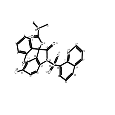 COc1ccccc1C1(OC(=O)N(C)C)C(=O)N(S(=O)(=O)c2cccc3cccnc23)c2ccc(Cl)cc21